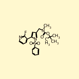 CN(Cc1cc(-c2cccnc2F)n(S(=O)(=O)c2ccccc2)c1)C(=O)OC(C)(C)C